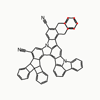 N#Cc1cc2c(c3c1C1c4ccccc4C3c3ccccc31)c1cc3c(c4cccc5c6ccccc6n3c54)c3c4c5c(c(C#N)cc4n2c13)C1c2ccccc2C12c1ccccc1C52